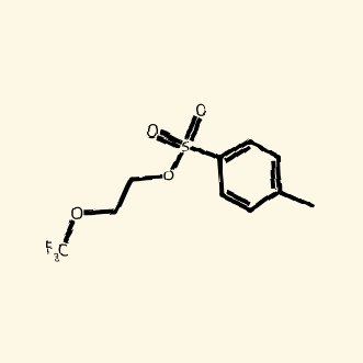 Cc1ccc(S(=O)(=O)OCCOC(F)(F)F)cc1